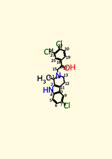 CC1c2[nH]c3ccc(Cl)cc3c2CCN1CC(O)c1ccc(Cl)c(Cl)c1